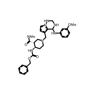 CNC(=O)[C@@H]1CN(Cc2ccn3c2C(Nc2cccc(OC)c2)NCN3)CC[C@H]1NC(=O)OCc1ccccc1